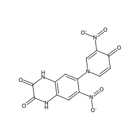 O=c1ccn(-c2cc3[nH]c(=O)c(=O)[nH]c3cc2[N+](=O)[O-])cc1[N+](=O)[O-]